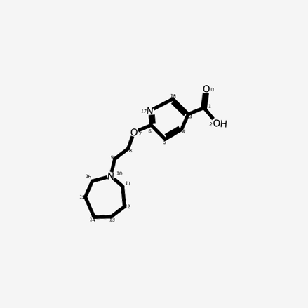 O=C(O)c1ccc(OCCN2CCCCCC2)nc1